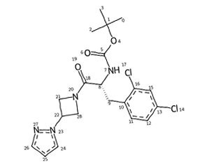 CC(C)(C)OC(=O)N[C@H](Cc1ccc(Cl)cc1Cl)C(=O)N1CC(n2cccn2)C1